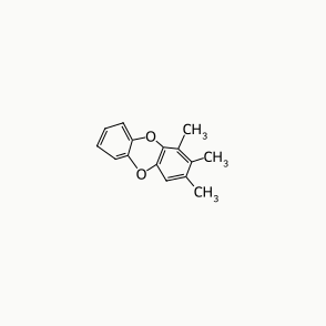 Cc1cc2c(c(C)c1C)Oc1ccccc1O2